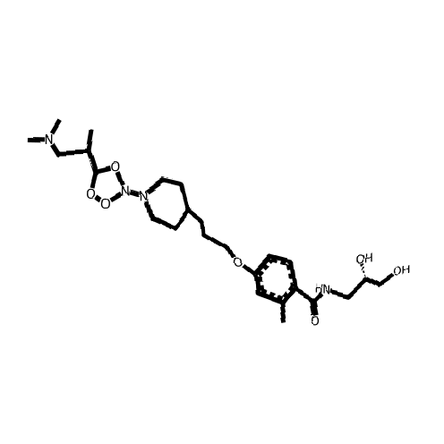 Cc1cc(OCCCC2CCN(N3OOC(C(C)CN(C)C)O3)CC2)ccc1C(=O)NC[C@H](O)CO